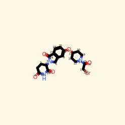 O=C1CCC(N2Cc3cc(OC4CCN(C(=O)CBr)CC4)ccc3C2=O)C(=O)N1